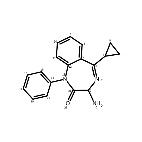 NC1N=C(C2CC2)c2ccccc2N(c2ccccc2)C1=O